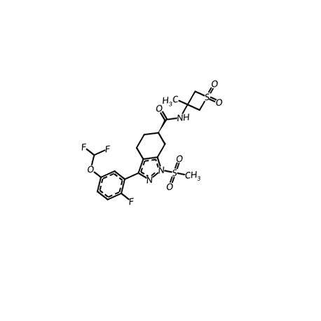 CC1(NC(=O)[C@@H]2CCc3c(-c4cc(OC(F)F)ccc4F)nn(S(C)(=O)=O)c3C2)CS(=O)(=O)C1